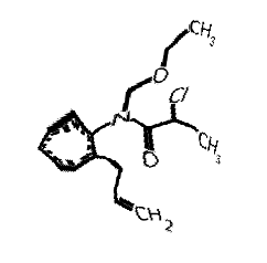 C=CCc1ccccc1N(COCC)C(=O)C(C)Cl